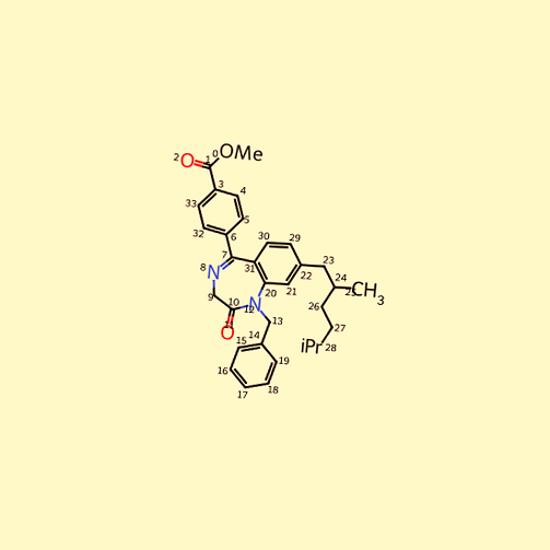 COC(=O)c1ccc(C2=NCC(=O)N(Cc3ccccc3)c3cc(CC(C)CCC(C)C)ccc32)cc1